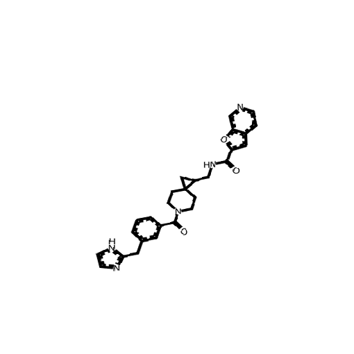 O=C(NCC1CC12CCN(C(=O)c1cccc(Cc3ncc[nH]3)c1)CC2)c1cc2ccncc2o1